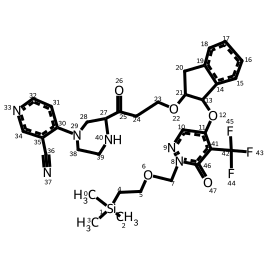 C[Si](C)(C)CCOCn1ncc(OC2c3ccccc3CC2OCCC(=O)C2CN(c3ccncc3C#N)CCN2)c(C(F)(F)F)c1=O